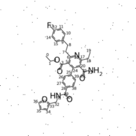 CCOC(=O)c1c(CCc2ccc(F)cc2)nc(CC)c(C(N)=O)c1-c1ccc(C(=O)NCc2ccco2)cc1